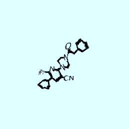 CC(C)c1nc(N2CCN(C(=O)Cc3ccccc3)CC2)c(C#N)cc1-c1ccccc1